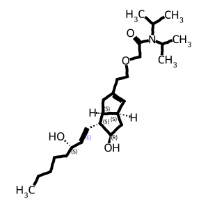 CCCCC[C@H](O)/C=C/[C@@H]1[C@H]2CC(CCOCC(=O)N(C(C)C)C(C)C)=C[C@H]2C[C@H]1O